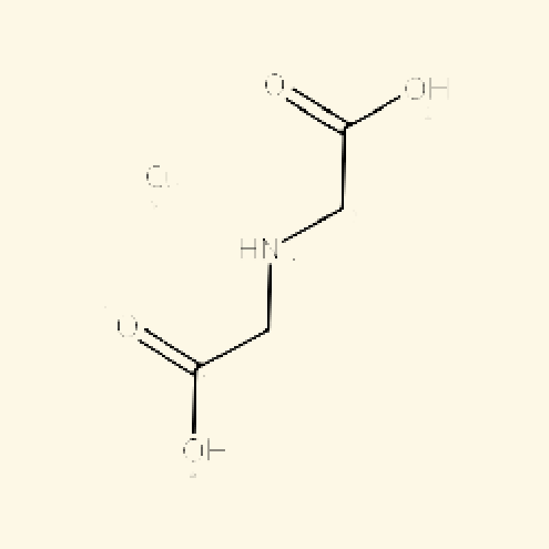 O=C(O)CNCC(=O)O.[Cu]